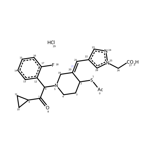 CC(=O)SC1CCN(C(C(=O)C2CC2)c2ccccc2F)C/C1=C/c1cnn(CC(=O)O)c1.Cl